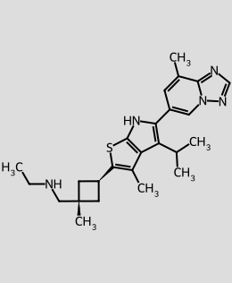 CCNC[C@]1(C)C[C@@H](c2sc3[nH]c(-c4cc(C)c5ncnn5c4)c(C(C)C)c3c2C)C1